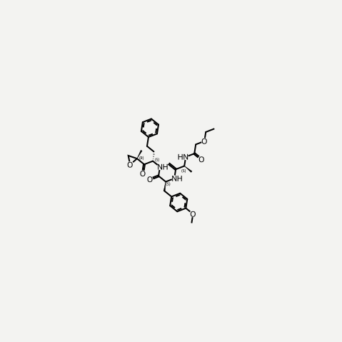 C=C(N[C@@H](Cc1ccc(OC)cc1)C(=O)N[C@@H](CCc1ccccc1)C(=O)[C@@]1(C)CO1)[C@H](C)NC(=O)COCC